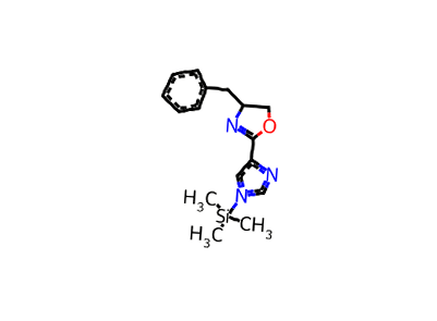 C[Si](C)(C)n1cnc(C2=NC(Cc3ccccc3)CO2)c1